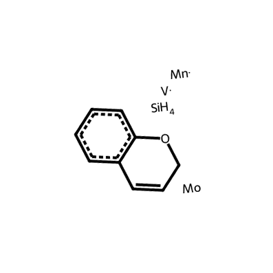 C1=Cc2ccccc2OC1.[Mn].[Mo].[SiH4].[V]